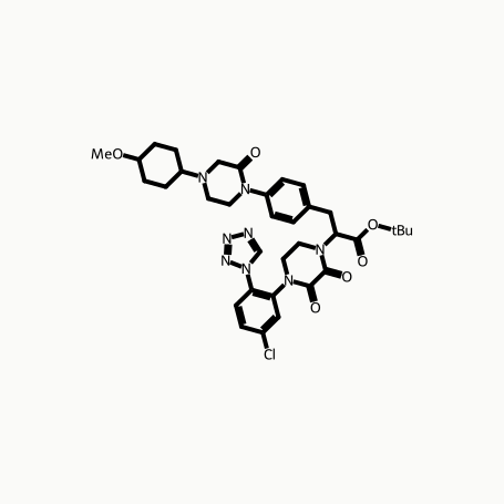 COC1CCC(N2CCN(c3ccc(CC(C(=O)OC(C)(C)C)N4CCN(c5cc(Cl)ccc5-n5cnnn5)C(=O)C4=O)cc3)C(=O)C2)CC1